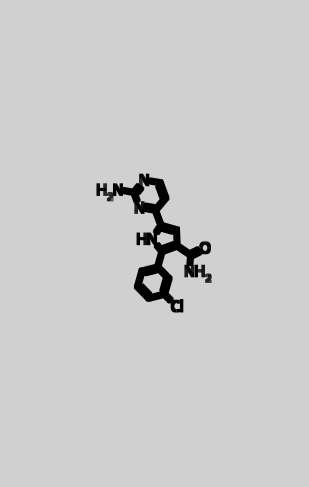 NC(=O)c1cc(-c2ccnc(N)n2)[nH]c1-c1cccc(Cl)c1